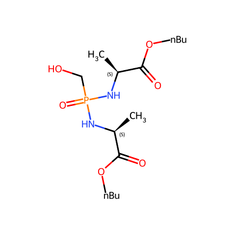 CCCCOC(=O)[C@H](C)NP(=O)(CO)N[C@@H](C)C(=O)OCCCC